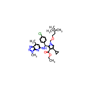 CCOC(=O)c1c(C2CC2)cn(COCC[Si](C)(C)C)c1C(Nc1cc(C)c2nnn(C)c2n1)c1ccc(Cl)cc1